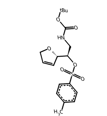 Cc1ccc(S(=O)(=O)O[C@H](CNC(=O)OC(C)(C)C)[C@@H]2C=CCO2)cc1